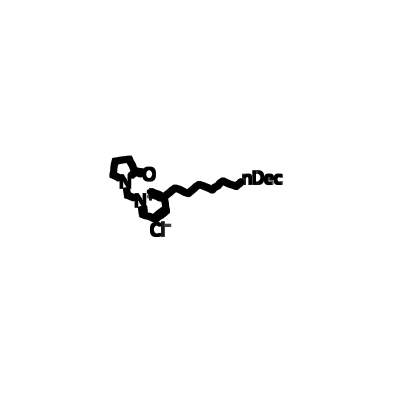 CCCCCCCCCCCCCCCCc1ccc[n+](CN2CCCC2=O)c1.[Cl-]